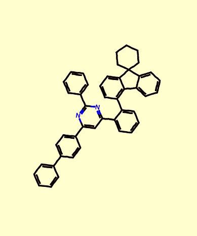 c1ccc(-c2ccc(-c3cc(-c4ccccc4-c4cccc5c4-c4ccccc4C54CCCCC4)nc(-c4ccccc4)n3)cc2)cc1